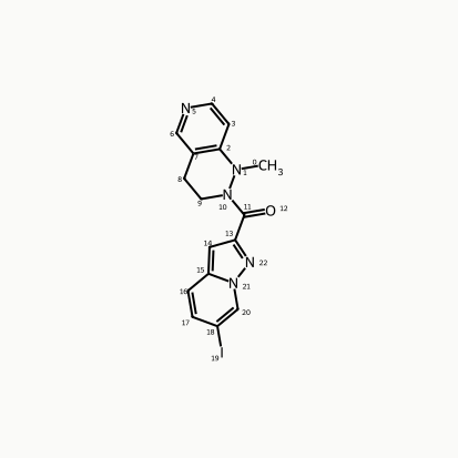 CN1c2ccncc2CCN1C(=O)c1cc2ccc(I)cn2n1